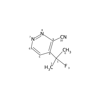 CC(C)(F)c1c[c]nnc1C#N